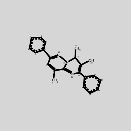 CC1=CC(c2ccccc2)=NN2C1=NC(c1ccccc1)=C(O)C2C